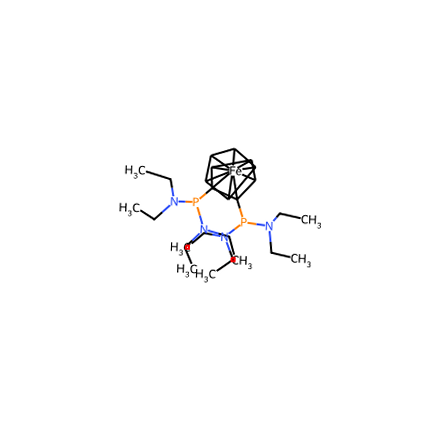 CCN(CC)P(N(CC)CC)[C]12[CH]3[CH]4[CH]5[C]1(P(N(CC)CC)N(CC)CC)[Fe]43521678[CH]2[CH]1[CH]6[CH]7[CH]28